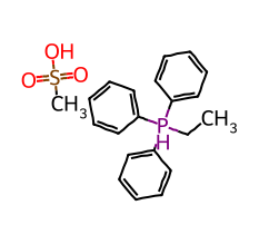 CC[PH](c1ccccc1)(c1ccccc1)c1ccccc1.CS(=O)(=O)O